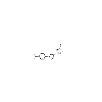 CC(C)c1ccc(-n2cc(-n3cc(C(=O)O)nn3)cn2)cc1